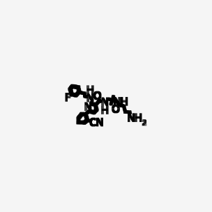 CC(C)(CNC(=O)c1ccc(-c2ccccc2C#N)nc1NCCc1cccc(F)c1)NC(=O)CCCN